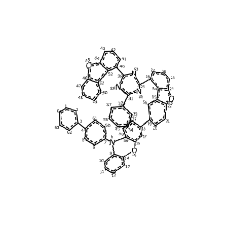 c1ccc(-c2ccc(N3c4ccccc4Oc4cc(-c5ccc6oc7cccc(-c8nc(-c9ccccc9)nc(-c9cccc%10oc%11ccccc%11c9%10)n8)c7c6c5)ccc43)cc2)cc1